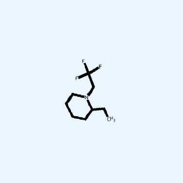 CCC1CCCCN1CC(F)(F)F